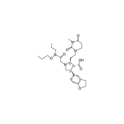 CCCON(CCC)C(=O)CN1C[C@H](c2ccc3c(c2)CCO3)[C@@H](C(=O)O)[C@@H]1CCN1CCC(=O)N(C)C1=O